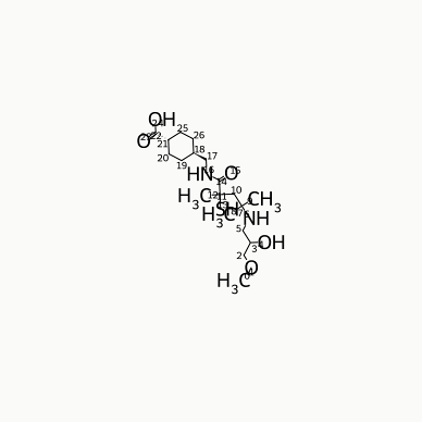 COCC(O)CNC(C)(C)CC(C)(S)C(=O)NC[C@H]1CC[C@H](C(=O)O)CC1